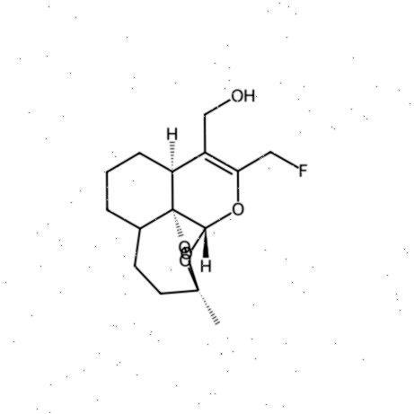 C[C@]12CCC3CCC[C@H]4C(CO)=C(CF)O[C@H](O1)[C@@]34OO2